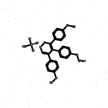 CCCCCOc1ccc(C2=C(c3ccc(OCC)cc3)SOC=C2c2ccc(OCC)cc2)cc1.[O-][Cl+3]([O-])([O-])O